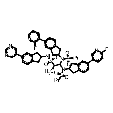 CC(C(N(C1Cc2ccc(-c3ccc(F)nc3)cc2C1)S(=O)(=O)C(C)C)N(C1Cc2ccc(-c3cccnc3F)cc2C1)S(=O)(=O)C(C)C)S(=O)(=O)NC1Cc2ccc(-c3cncnc3)cc2C1